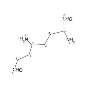 NC(C=O)CCC(N)CCC=O